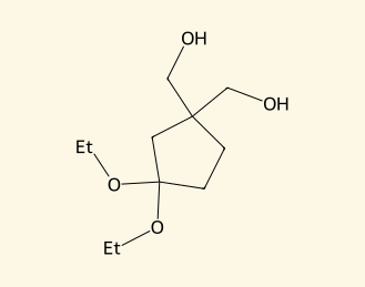 CCOC1(OCC)CCC(CO)(CO)C1